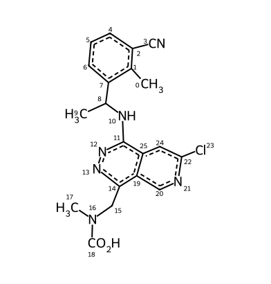 Cc1c(C#N)cccc1C(C)Nc1nnc(CN(C)C(=O)O)c2cnc(Cl)cc12